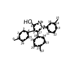 Cc1ccc(-c2c(O)nn(-c3cccc(C)c3)c2-c2ccc(C)cc2)cc1